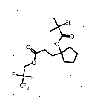 CCC(C)(C)C(=O)OC1(CCC(=O)OCC(F)(F)C(F)(F)F)CCCC1